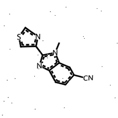 Cn1c(-c2cscn2)nc2ccc(C#N)cc21